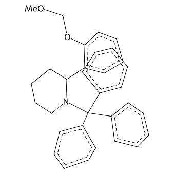 COCOc1ccccc1C1CCCCN1C(c1ccccc1)(c1ccccc1)c1ccccc1